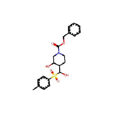 Cc1ccc(S(=O)(=O)C(O)C2CCN(C(=O)OCc3ccccc3)CC2O)cc1